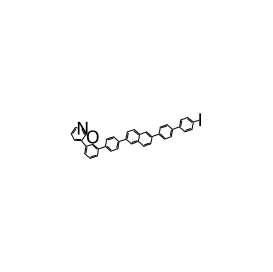 Ic1ccc(-c2ccc(-c3ccc4cc(-c5ccc(-c6cccc7c6oc6ncccc67)cc5)ccc4c3)cc2)cc1